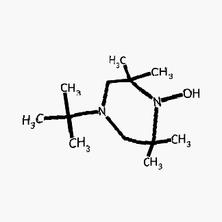 CC(C)(C)N1CC(C)(C)N(O)C(C)(C)C1